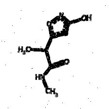 CNC(=O)C(C)c1cc(O)no1